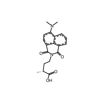 C[C@H](CCN1C(=O)c2cccc3c(N(C)C)ccc(c23)C1=O)C(=O)O